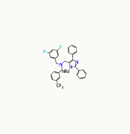 CCCCn1c(-c2ccccc2)nc(-c2ccccc2)c1CN(Cc1cc(F)cc(F)c1)Cc1cccc(C(F)(F)F)c1